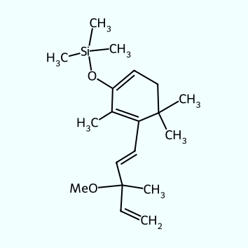 C=CC(C)(/C=C/C1=C(C)C(O[Si](C)(C)C)=CCC1(C)C)OC